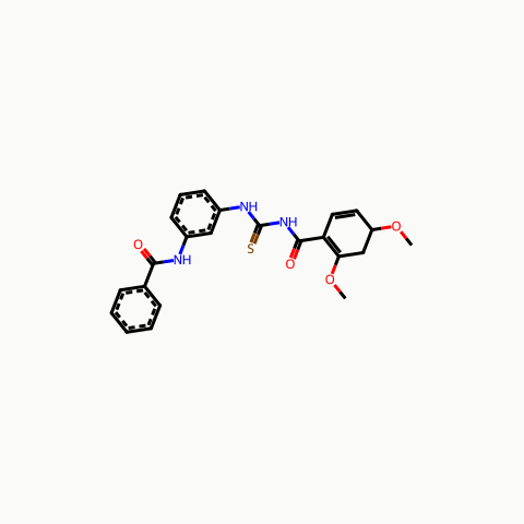 COC1=C(C(=O)NC(=S)Nc2cccc(NC(=O)c3ccccc3)c2)C=CC(OC)C1